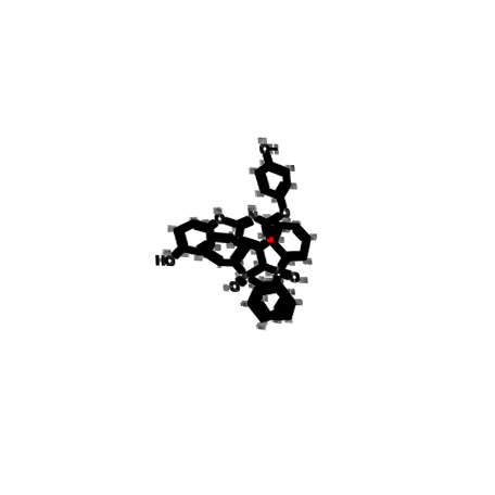 O=P(c1ccccc1)(c1ccccc1)C(c1nc(Oc2ccc(O)cc2)nc(Oc2ccc(O)cc2)n1)P(=O)(c1ccccc1)c1ccccc1